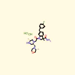 C[C@@H]1CN(CC(=O)N2CC(C)(C(N)=O)c3ccc(Cc4ccc(F)cc4)cc32)[C@@H](CN2CCOC[C@H]2C)CN1.Cl.Cl